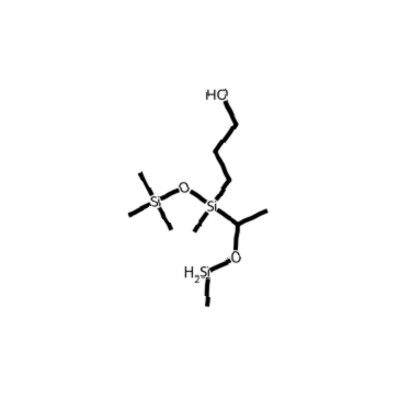 C[SiH2]OC(C)[Si](C)(CCCO)O[Si](C)(C)C